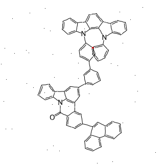 O=c1c2ccc(-c3cc4ccccc4c4ccccc34)cc2c2cc(-c3cccc(-c4ccc(-n5c6ccccc6c6ccc7c8ccccc8n(-c8ccccc8)c7c65)cc4)c3)cc3c4ccccc4n1c23